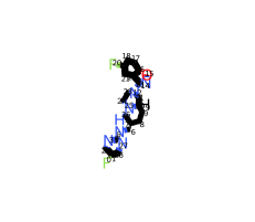 Fc1cnc(NC[C@H]2CC[C@H]3CN(c4noc5ccc(F)cc45)CCN3C2)nc1